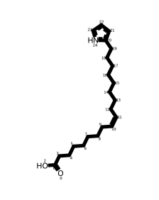 O=C(O)CCCCCCC/C=C\CCCCCCCCc1ccc[nH]1